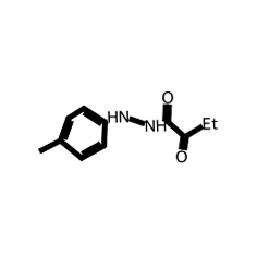 CCC(=O)C(=O)NNc1ccc(C)cc1